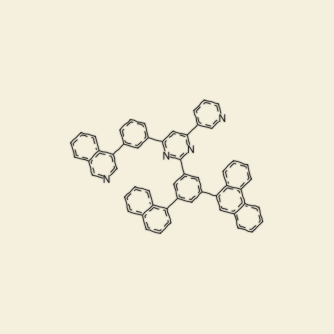 c1cncc(-c2cc(-c3cccc(-c4cncc5ccccc45)c3)nc(-c3cc(-c4cccc5ccccc45)cc(-c4cc5ccccc5c5ccccc45)c3)n2)c1